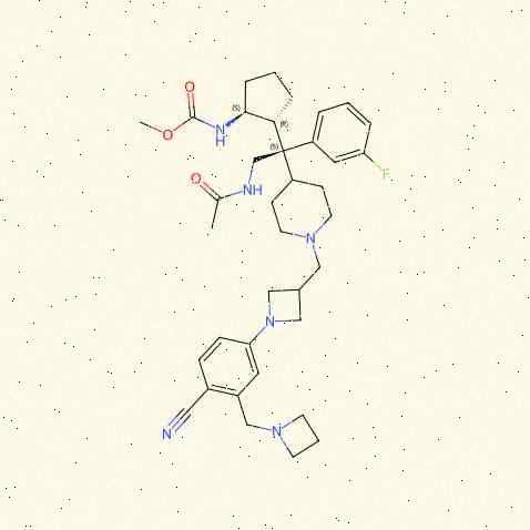 COC(=O)N[C@H]1CCC[C@@H]1[C@](CNC(C)=O)(c1cccc(F)c1)C1CCN(CC2CN(c3ccc(C#N)c(CN4CCC4)c3)C2)CC1